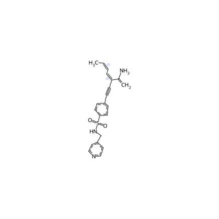 C=C(N)/C(C#Cc1ccc(S(=O)(=O)NCc2ccncc2)cc1)=C\C=C/C